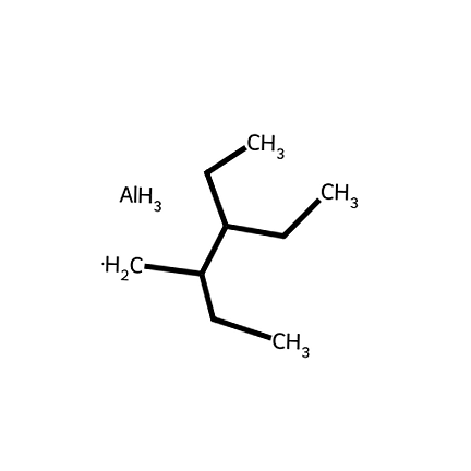 [AlH3].[CH2]C(CC)C(CC)CC